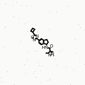 Cc1nn(C)cc1C(=O)N[C@@H]1CCc2cc(-c3noc(C4CCC4)n3)ccc21